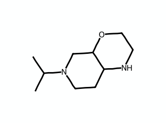 CC(C)N1CCC2NCCOC2C1